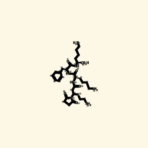 NCCCC[C@H](NC(=O)[C@H](Cc1ccccc1)NC(=O)[C@H](CCCCN)NC(=O)CC(SCCN)N1C(=O)CCC1=O)C(=O)O